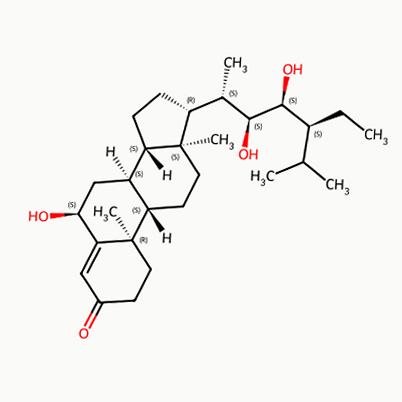 CC[C@@H](C(C)C)[C@H](O)[C@@H](O)[C@@H](C)[C@H]1CC[C@H]2[C@@H]3C[C@H](O)C4=CC(=O)CC[C@]4(C)[C@H]3CC[C@]12C